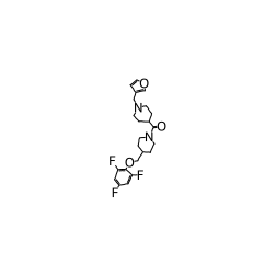 O=C(C1CCN(Cc2ccoc2)CC1)N1CCC(COc2c(F)cc(F)cc2F)CC1